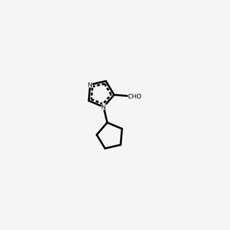 O=Cc1cncn1C1CCCC1